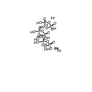 O=P(O)(O)OP(=O)(O)O.O=P(O)(O)OP(=O)(O)O.O=P(O)(O)OP(=O)(O)O.[Fe].[Fe].[Fe].[Fe].[LiH]